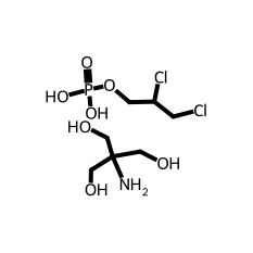 NC(CO)(CO)CO.O=P(O)(O)OCC(Cl)CCl